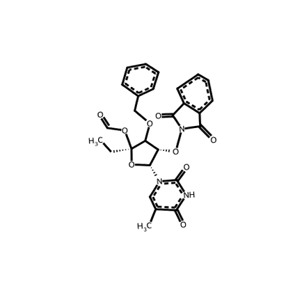 CC[C@@]1(OC=O)O[C@@H](n2cc(C)c(=O)[nH]c2=O)[C@@H](ON2C(=O)c3ccccc3C2=O)C1OCc1ccccc1